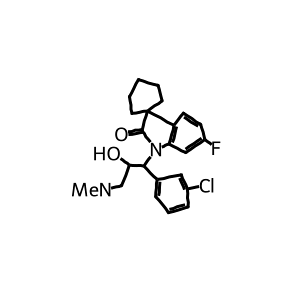 CNCC(O)C(c1cccc(Cl)c1)N1C(=O)C2(CCCCC2)c2ccc(F)cc21